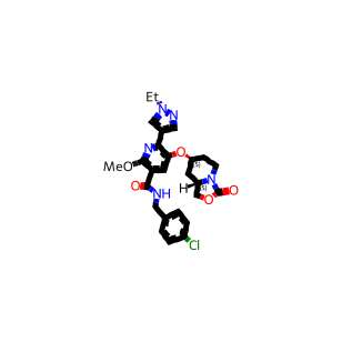 CCn1cc(-c2nc(OC)c(C(=O)NCc3ccc(Cl)cc3)cc2O[C@H]2CCN3C(=O)OC[C@@H]3C2)cn1